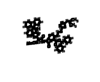 CON=C(C(=O)NC1C(=O)N2C(C(=O)OC(c3ccccc3)c3ccccc3)=C(C=CSc3nnc(CN(C)C)s3)CSC12)c1csc(NC(c2ccccc2)(c2ccccc2)c2ccccc2)n1